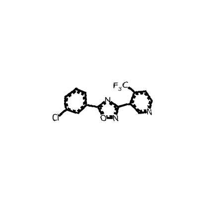 FC(F)(F)c1ccncc1-c1noc(-c2cccc(Cl)c2)n1